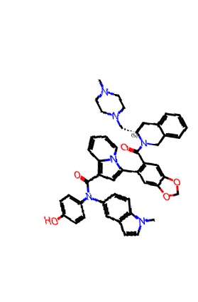 CN1CCN(C[C@@H]2Cc3ccccc3CN2C(=O)c2cc3c(cc2-c2cc(C(=O)N(c4ccc(O)cc4)c4ccc5c(ccn5C)c4)c4ccccn24)OCO3)CC1